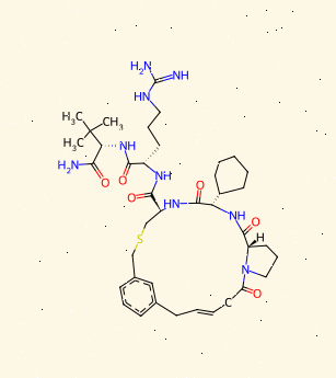 CC(C)(C)[C@H](NC(=O)[C@H](CCCNC(=N)N)NC(=O)[C@@H]1CSCc2cccc(c2)C/C=C/CC(=O)N2CCC[C@H]2C(=O)N[C@@H](C2CCCCC2)C(=O)N1)C(N)=O